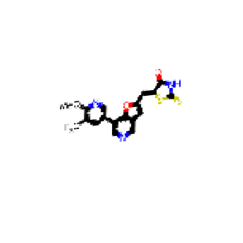 COc1ncc(-c2cncc3cc(/C=C4\SC(=S)NC4=O)oc23)cc1C(F)(F)F